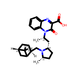 C[C@H]1CC[C@@H](C[C@H](C)n2c(=O)c(C(=O)O)nc3ccccc32)N1C[C@@H]1CC[C@H]2CC1C2(C)C